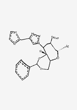 COC1C(n2cc(-c3nccs3)nn2)[C@H]2OC(c3ccccc3)OCC2O[C@H]1C(C)=O